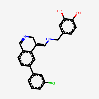 Oc1ccc(CNC=C2CN=Cc3ccc(-c4cccc(Cl)c4)cc32)cc1O